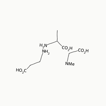 CC(N)C(=O)O.CNCC(=O)O.NCCC(=O)O